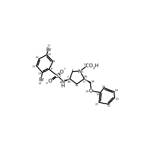 O=C(O)N1C[C@H](NS(=O)(=O)c2cc(Br)ccc2Br)C[C@@H]1COc1ccccc1